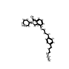 [N-]=[N+]=NCCCc1ccc(CCCSc2cccc3c2CN(C2CCCNC2)C3=O)cc1